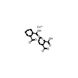 O=C([O-])c1ccccc1C(=O)O.O=C([O-])c1ccccc1C(=O)O.[Cu+2]